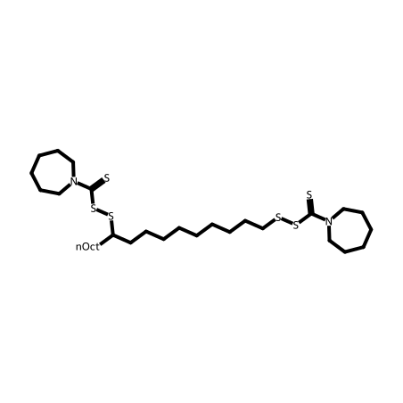 CCCCCCCCC(CCCCCCCCCSSC(=S)N1CCCCCC1)SSC(=S)N1CCCCCC1